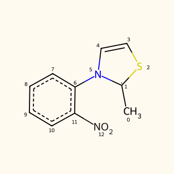 C[C]1SC=CN1c1ccccc1[N+](=O)[O-]